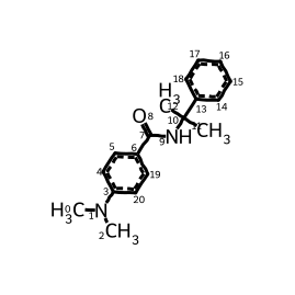 CN(C)c1ccc(C(=O)NC(C)(C)c2ccccc2)cc1